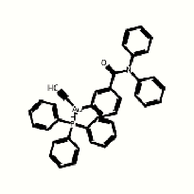 C#[C][Au]([c]1cccc(C(=O)N(c2ccccc2)c2ccccc2)c1)[PH](c1ccccc1)(c1ccccc1)c1ccccc1